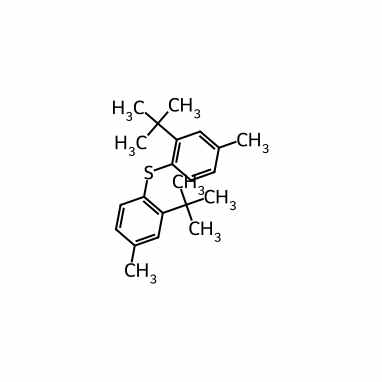 Cc1ccc(Sc2ccc(C)cc2C(C)(C)C)c(C(C)(C)C)c1